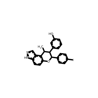 CC1c2c(ccc3[nH]ncc23)OC(c2ccc(I)cc2)C1c1cccc(O)c1